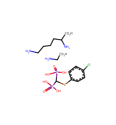 NCC(=O)O.NCCCCC(N)C(=O)O.O=P(O)(O)C(Sc1ccc(Cl)cc1)P(=O)(O)O